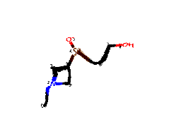 CN1CC([S+]([O-])CCO)C1